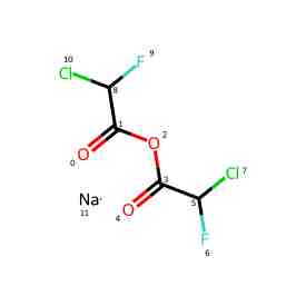 O=C(OC(=O)C(F)Cl)C(F)Cl.[Na]